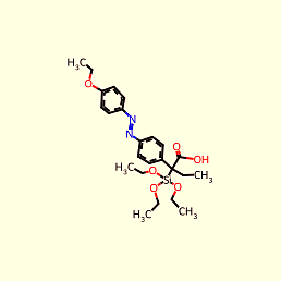 CCOc1ccc(N=Nc2ccc(C(CC)(C(=O)O)[Si](OCC)(OCC)OCC)cc2)cc1